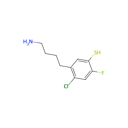 NCCCCc1cc(S)c(F)cc1Cl